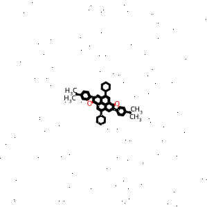 CC(C)c1ccc2c(c1)oc1c2cc2c(C3CCCCC3)cc3c4oc5cc(C(C)C)ccc5c4cc4c(C5CCCCC5)cc1c2c43